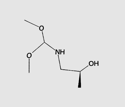 COC(NC[C@H](C)O)OC